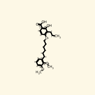 CCCc1c(OCCCCCCc2cccc(OC)c2OC)ccc(C(=O)O)c1O